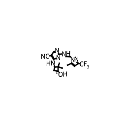 Cc1cc(C(F)(F)F)nn1CCNc1ncc(C#N)c(NC2C[C@H](O)C2(C)C)n1